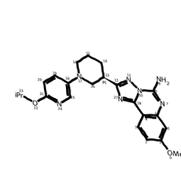 COc1ccc2c(c1)nc(N)n1nc([C@@H]3CCCN(c4ccc(OC(C)C)nc4)C3)nc21